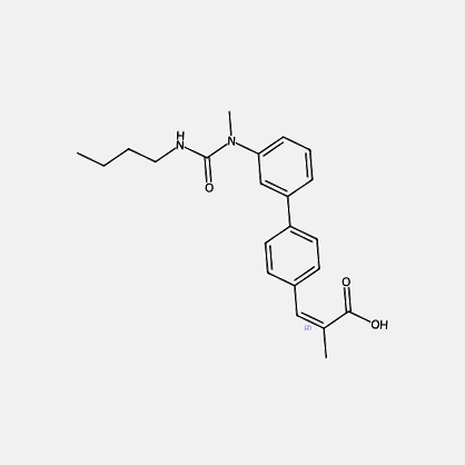 CCCCNC(=O)N(C)c1cccc(-c2ccc(/C=C(/C)C(=O)O)cc2)c1